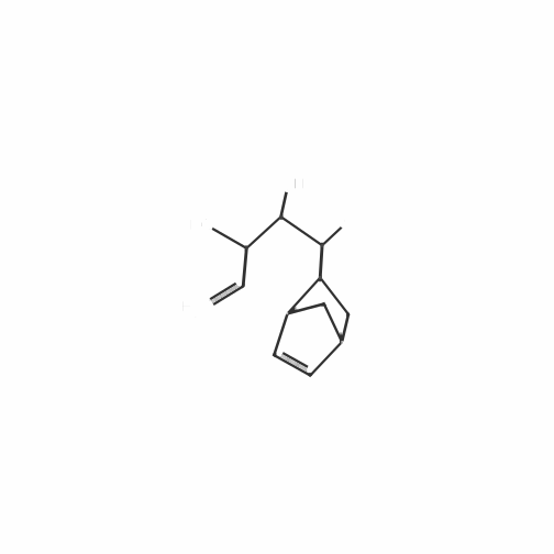 C=CC(C)C(C)C(C)C1CC2C=CC1C2